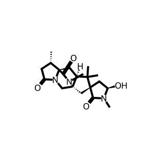 C[C@H]1CC(=O)N2C[C@]34C[C@]5(C[C@@H](O)N(C)C5=O)C(C)(C)[C@@H]3C[C@]12C(=O)N4C